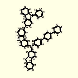 c1ccc(-c2ccc(-c3ccc(N(c4ccc5c(c4)Cc4ccccc4-5)c4ccc5oc6ccc(-c7ccc8c(c7)c7ccccc7n8-c7ccccc7)cc6c5c4)cc3)cc2)cc1